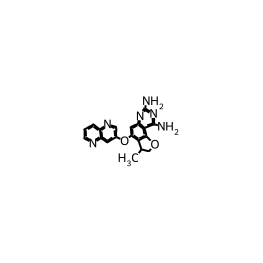 CC1COc2c1c(Oc1cnc3cccnc3c1)cc1nc(N)nc(N)c21